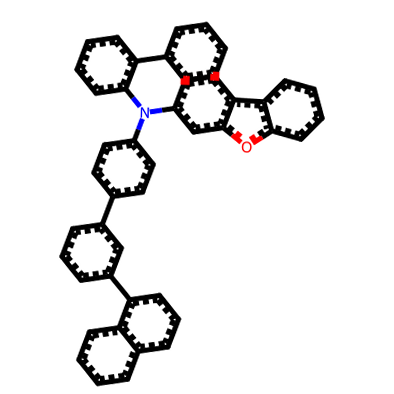 c1ccc(-c2ccccc2N(c2ccc(-c3cccc(-c4cccc5ccccc45)c3)cc2)c2ccc3c(c2)oc2ccccc23)cc1